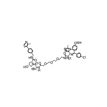 CC[C@@H](C(=O)NCCOCCOCCOCC(=O)N[C@H](C(=O)N1C[C@H](O)C[C@H]1C(=O)NCc1ccc(-c2scnc2C)cc1)C(C)(C)C)[C@@H]1N=C(c2ccc(Cl)cc2)c2ccc(OC)cc2-n2c(C)nnc21